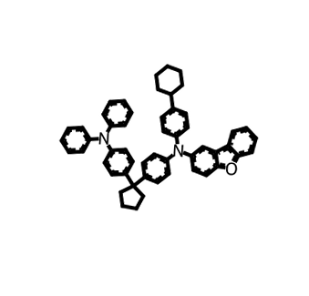 c1ccc(N(c2ccccc2)c2ccc(C3(c4ccc(N(c5ccc(C6CCCCC6)cc5)c5ccc6oc7ccccc7c6c5)cc4)CCCC3)cc2)cc1